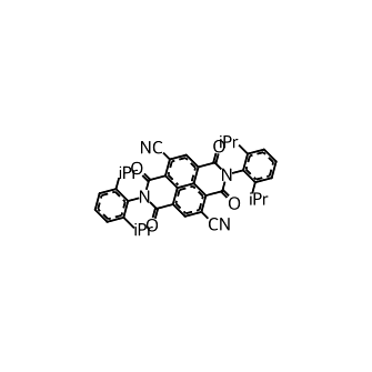 CC(C)c1cccc(C(C)C)c1N1C(=O)c2cc(C#N)c3c4c(cc(C#N)c(c24)C1=O)C(=O)N(c1c(C(C)C)cccc1C(C)C)C3=O